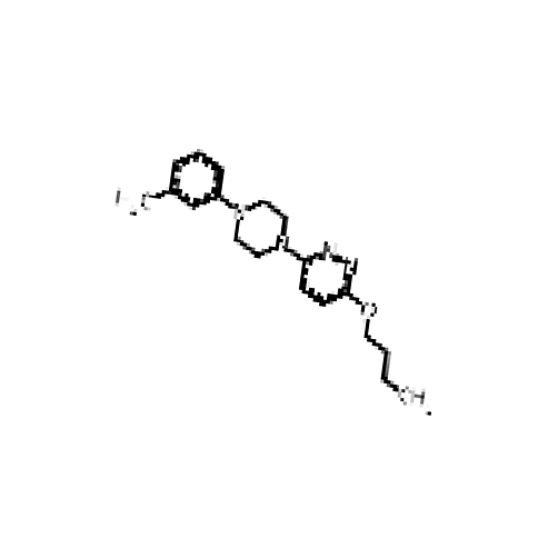 CCCCOc1ccc(N2CCN(c3cccc(C)c3)CC2)nn1